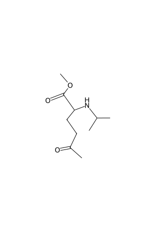 COC(=O)C(CCC(C)=O)NC(C)C